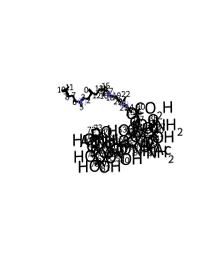 C=C(C/C=C(\C)CCC=C(C)C)CCC(C)(C)/C=C/CC/C(C)=C/COC(COP(=O)(O)OC1OC(C(N)=O)C(C)(O)C(OC(N)=O)C1OC1OC(CO)C(OC2OC(CO)C(OC3OC(C(=O)NC4=C(O)CCC4=O)C(O)C(O)C3O)C(O)C2NC(C)=O)C(O)C1NC(C)=O)C(=O)O